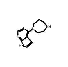 c1nc(N2CCCNCC2)c2cc[nH]c2n1